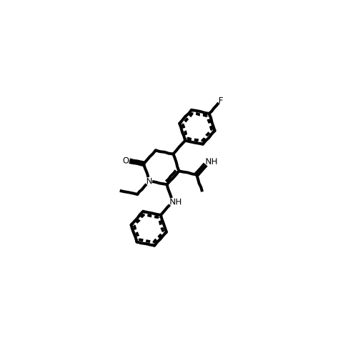 CCN1C(=O)CC(c2ccc(F)cc2)C(C(C)=N)=C1Nc1ccccc1